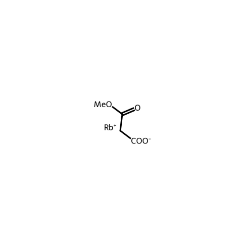 COC(=O)CC(=O)[O-].[Rb+]